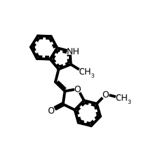 COc1cccc2c1OC(=Cc1c(C)[nH]c3ccccc13)C2=O